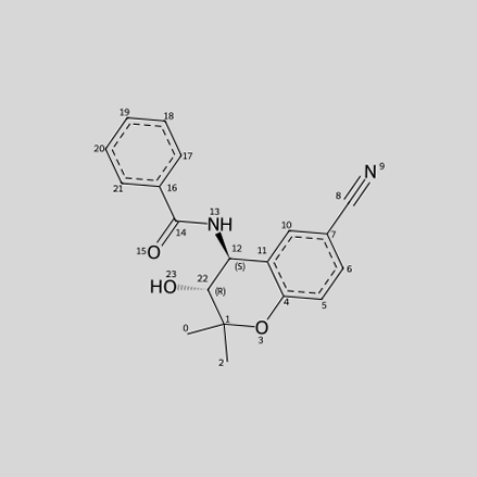 CC1(C)Oc2ccc(C#N)cc2[C@H](NC(=O)c2ccccc2)[C@H]1O